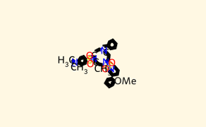 COc1ccccc1[C@@H]1CCCN(S(=O)(=O)N2CCCN(CC3CCCCC3)CCCN(S(=O)(=O)c3ccc(N(C)C)cc3)C[C@H](C)C2)C1